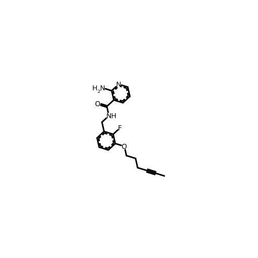 CC#CCCCOc1cccc(CNC(=O)c2cccnc2N)c1F